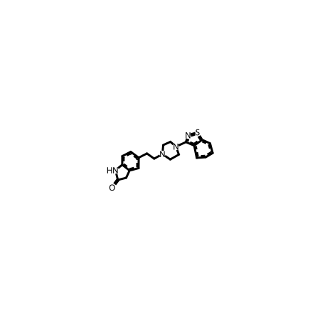 O=C1Cc2cc(CCN3CCN(c4nsc5ccccc45)CC3)ccc2N1